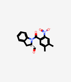 Cc1cc(C(=O)N2c3ccccc3C[C@H]2C=O)c([N+](=O)[O-])cc1C